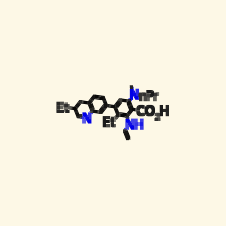 C=CNc1c(CC)c(-c2ccc3c(c2)N=CC(CC)C3)cc(N(C)CCC)c1C(=O)O